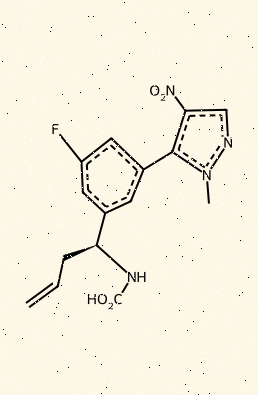 C=CC[C@H](NC(=O)O)c1cc(F)cc(-c2c([N+](=O)[O-])cnn2C)c1